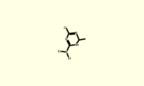 CCN(CC)C1=NC(Cl)=NC(C)N1